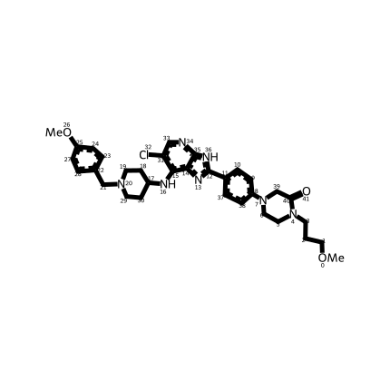 COCCCN1CCN(c2ccc(-c3nc4c(NC5CCN(Cc6ccc(OC)cc6)CC5)c(Cl)cnc4[nH]3)cc2)CC1=O